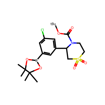 CC(C)(C)OC(=O)N1CCS(=O)(=O)CC1c1cc(Cl)cc(B2OC(C)(C)C(C)(C)O2)c1